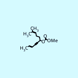 CC=CC#CC(CCC=C(C)C)OC(=O)OC